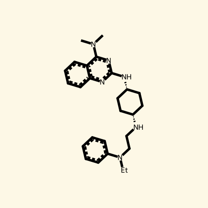 CCN(CCN[C@H]1CC[C@@H](Nc2nc(N(C)C)c3ccccc3n2)CC1)c1ccccc1